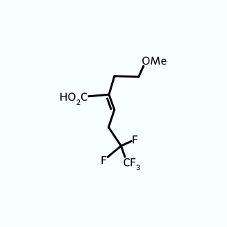 COCCC(=CCC(F)(F)C(F)(F)F)C(=O)O